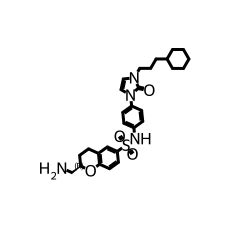 NC[C@H]1CCc2cc(S(=O)(=O)Nc3ccc(-n4ccn(CCCC5CCCCC5)c4=O)cc3)ccc2O1